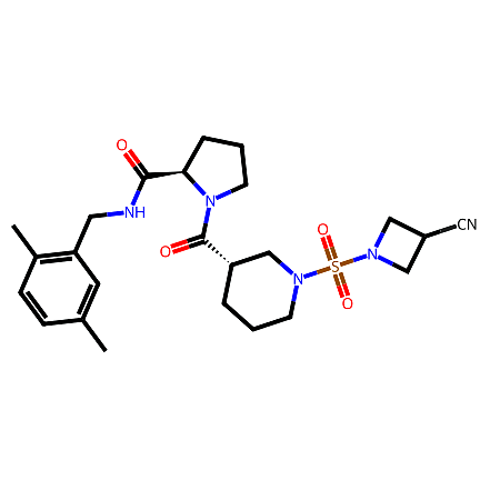 Cc1ccc(C)c(CNC(=O)[C@H]2CCCN2C(=O)[C@H]2CCCN(S(=O)(=O)N3CC(C#N)C3)C2)c1